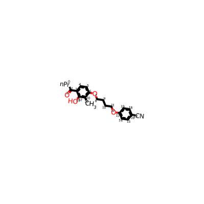 CCCC(=O)c1ccc(OCCCCOc2ccc(C#N)cc2)c(C)c1O